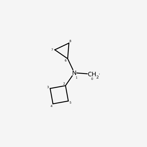 [CH2]N(C1CCC1)C1CC1